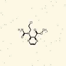 COC(=O)c1nccnc1N(CCCl)C(N)=O